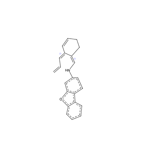 C=C/C=C1/C=CCC/C1=C/Nc1ccc2c(c1)oc1ccccc12